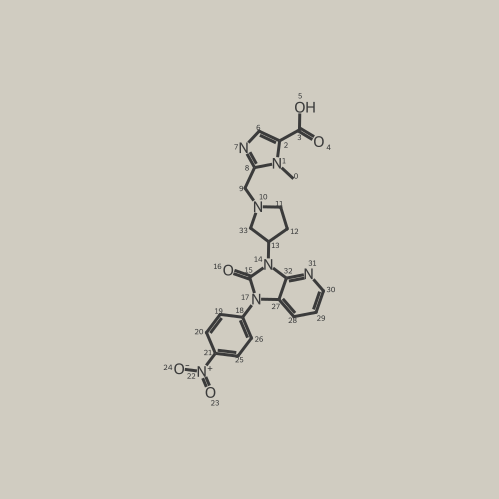 Cn1c(C(=O)O)cnc1CN1CCC(n2c(=O)n(-c3ccc([N+](=O)[O-])cc3)c3cccnc32)C1